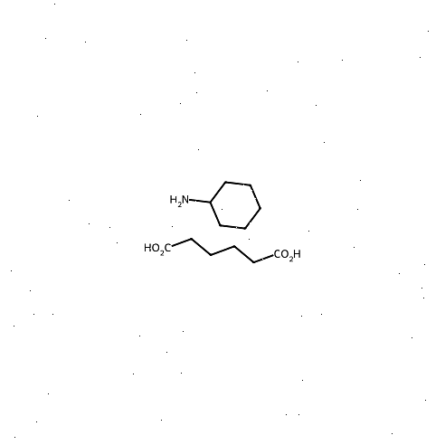 NC1CCCCC1.O=C(O)CCCCC(=O)O